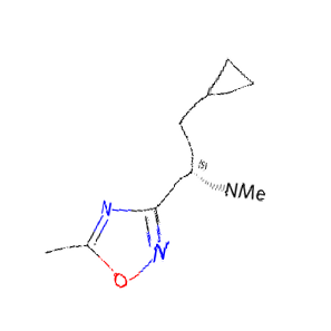 CN[C@@H](CC1CC1)c1noc(C)n1